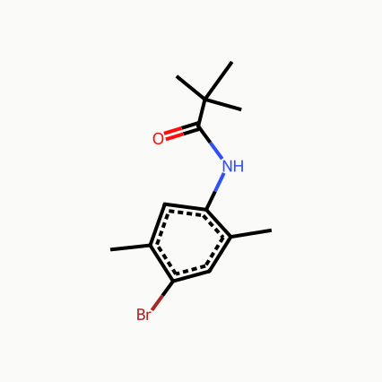 Cc1cc(NC(=O)C(C)(C)C)c(C)cc1Br